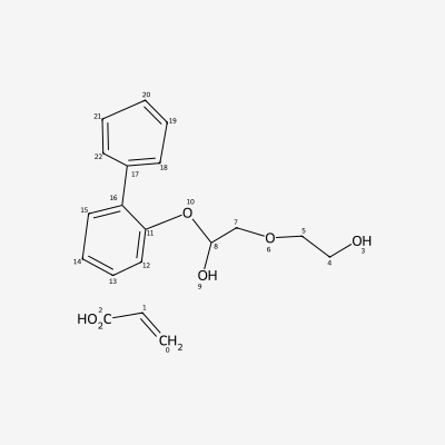 C=CC(=O)O.OCCOCC(O)Oc1ccccc1-c1ccccc1